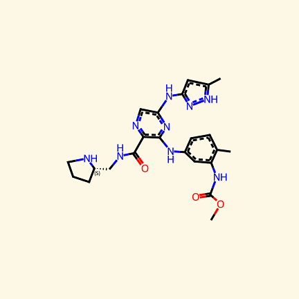 COC(=O)Nc1cc(Nc2nc(Nc3cc(C)[nH]n3)cnc2C(=O)NC[C@@H]2CCCN2)ccc1C